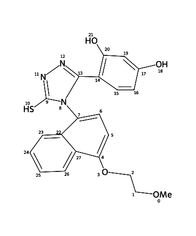 COCCOc1ccc(-n2c(S)nnc2-c2ccc(O)cc2O)c2ccccc12